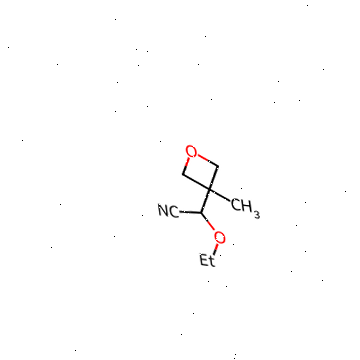 CCOC(C#N)C1(C)COC1